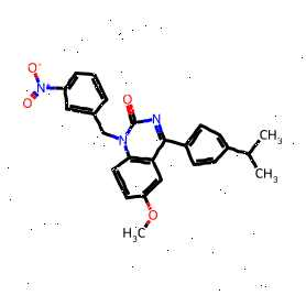 COc1ccc2c(c1)c(-c1ccc(C(C)C)cc1)nc(=O)n2Cc1cccc([N+](=O)[O-])c1